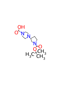 CC(C)(C)OC(=O)N1CC[C@@H](N2CCN(C(=O)O)CC2)C1